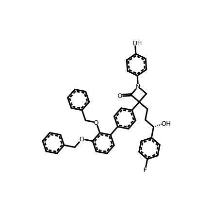 O=C1N(c2ccc(O)cc2)CC1(CC[C@H](O)c1ccc(F)cc1)c1ccc(-c2cccc(OCc3ccccc3)c2OCc2ccccc2)cc1